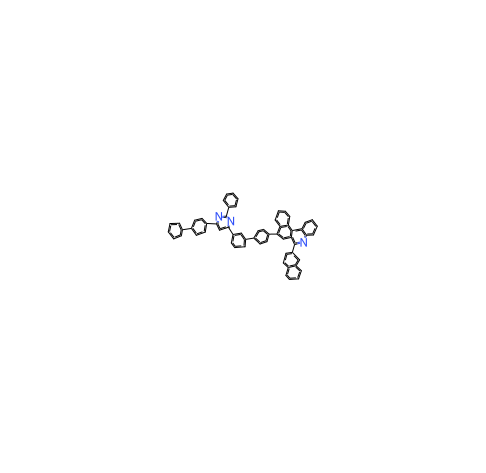 c1ccc(-c2ccc(-c3cc(-c4cccc(-c5ccc(-c6cc7c(-c8ccc9ccccc9c8)nc8ccccc8c7c7ccccc67)cc5)c4)nc(-c4ccccc4)n3)cc2)cc1